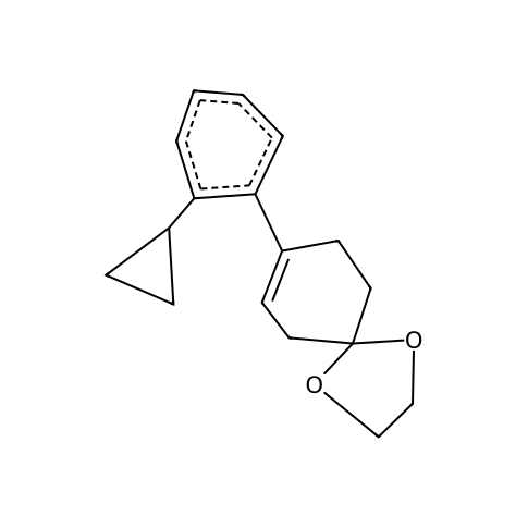 C1=C(c2ccccc2C2CC2)CCC2(C1)OCCO2